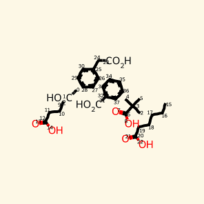 CC(=O)O.CC(C)(C)C(=O)O.CCCC(=O)O.CCCCCC(=O)O.O=C(O)Cc1ccccc1.O=C(O)c1ccccc1